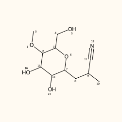 COC1C(CO)OC(CC(C)C#N)C(O)C1O